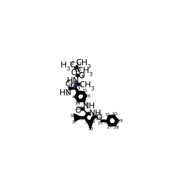 CC(=N)/C(=C(/C)NC(=O)OC(C)(C)C)c1ccc(NC(=O)[C@H]2NC(OCc3ccccc3)=C3CC3C2C2CC2)cc1